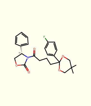 CC1(C)COC(CCCC(=O)N2C(=O)OC[C@@H]2c2ccccc2)(c2ccc(F)cc2)OC1